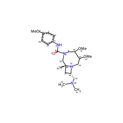 COc1ccc(NC(=O)N2CC(OC)C(OC)CN3[C@H](C[C@H]3CN(C)C)C2)cc1